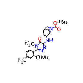 COc1cc(C(F)(F)F)ccc1-c1nnc(NC2CC3CC2N(C(=O)OC(C)(C)C)C3)c(=O)n1C